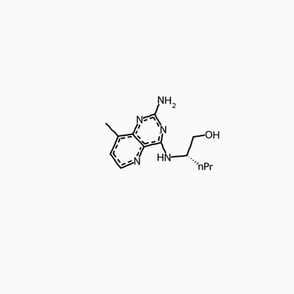 CCC[C@@H](CO)Nc1nc(N)nc2c(C)ccnc12